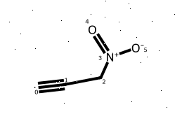 [C]#CC[N+](=O)[O-]